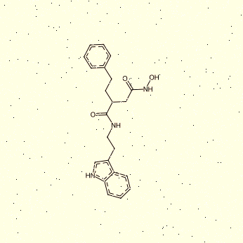 O=C(CC(CCc1ccccc1)C(=O)NCCc1c[nH]c2ccccc12)NO